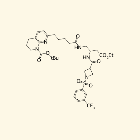 CCOC(=O)CC(CNC(=O)CCCCc1ccc2c(n1)N(C(=O)OC(C)(C)C)CCC2)NC(=O)C1CN(S(=O)(=O)c2cccc(C(F)(F)F)c2)C1